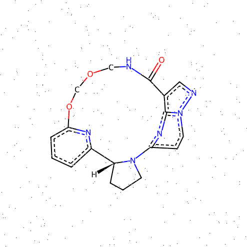 O=C1NCOCOc2cccc(n2)[C@H]2CCCN2c2ccn3ncc1c3n2